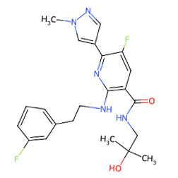 Cn1cc(-c2nc(NCCc3cccc(F)c3)c(C(=O)NCC(C)(C)O)cc2F)cn1